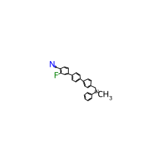 C[C@@H](Cc1ccc(-c2ccc(-c3ccc(C#N)c(F)c3)cc2)cc1)c1ccccc1